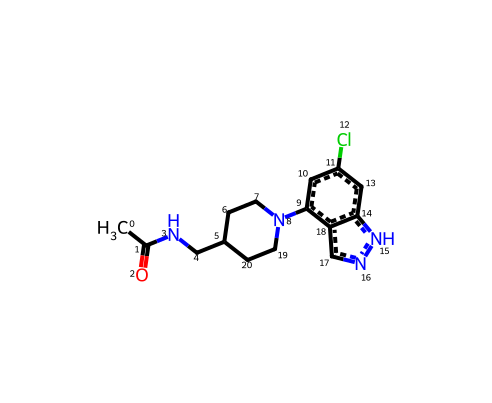 CC(=O)NCC1CCN(c2cc(Cl)cc3[nH]ncc23)CC1